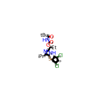 CCC(OC(=O)NC(=O)C(C)(C)C)c1nc(C(C)C)c(Sc2cc(Cl)cc(Cl)c2)[nH]1